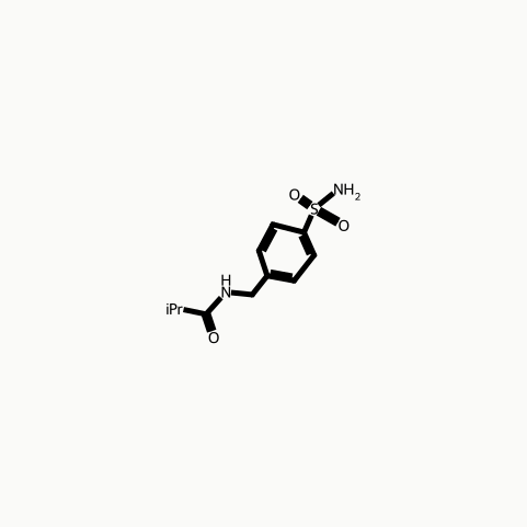 CC(C)C(=O)NCc1ccc(S(N)(=O)=O)cc1